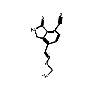 CCO/C=C/c1ccc(C#N)c2c1CNC2=O